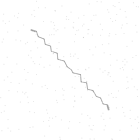 C=CCCCCCCCCCCCCCCCCCCCC=C